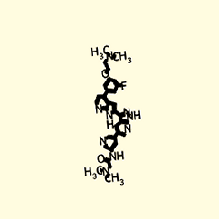 CN(C)CCOc1cc(F)cc(-c2ccnc3[nH]c(-c4n[nH]c5ncc(-c6cncc(NC(=O)CN(C)C)c6)cc45)cc23)c1